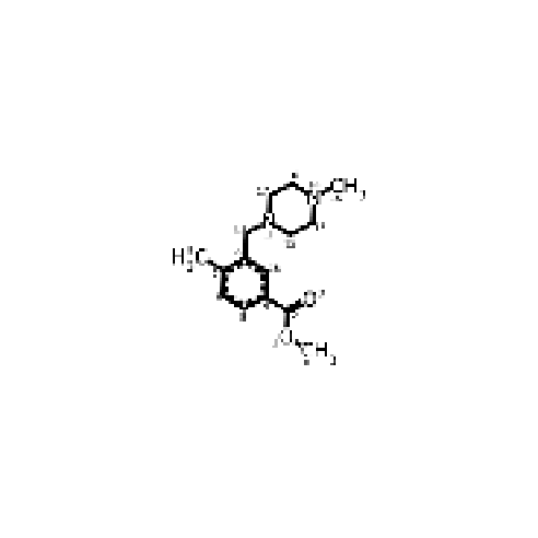 COC(=O)c1ccc(C)c(CN2CCN(C)CC2)c1